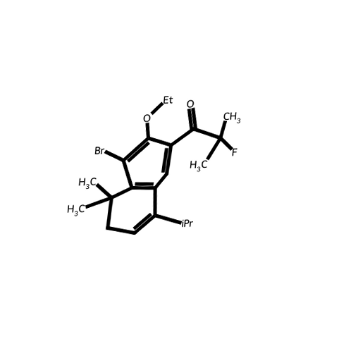 CCOc1c(C(=O)C(C)(C)F)cc2c(c1Br)C(C)(C)CC=C2C(C)C